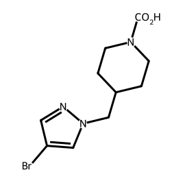 O=C(O)N1CCC(Cn2cc(Br)cn2)CC1